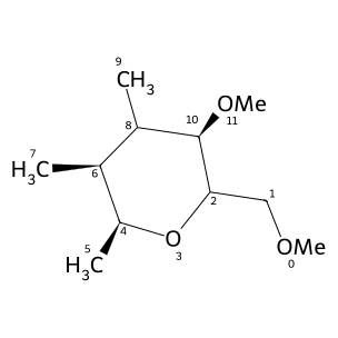 COCC1O[C@@H](C)[C@@H](C)C(C)[C@H]1OC